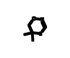 CC1(C)CON=CS1